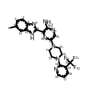 Cc1ccc2nc(-c3nc(N4CCN(c5ncccc5C(F)(F)F)CC4)cnc3N)[nH]c2c1